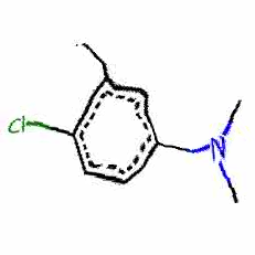 [CH2]c1cc(N(C)C)ccc1Cl